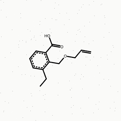 C=CCOCc1c(CC)cccc1C(=O)O